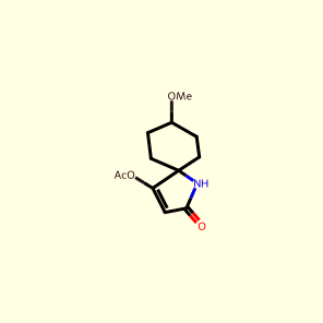 COC1CCC2(CC1)NC(=O)C=C2OC(C)=O